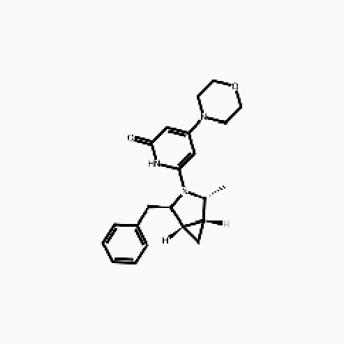 C[C@@H]1[C@@H]2C[C@@H]2[C@@H](Cc2ccccc2)N1c1cc(N2CCOCC2)cc(=O)[nH]1